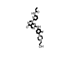 C=CC(=O)Nc1cccc(-n2cnc(=O)c3cnc(Nc4ccc(N5CCN(CCO)CC5)c(F)c4)nc32)n1